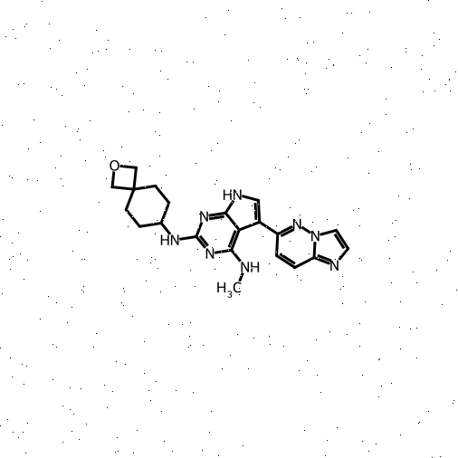 CNc1nc(NC2CCC3(CC2)COC3)nc2[nH]cc(-c3ccc4nccn4n3)c12